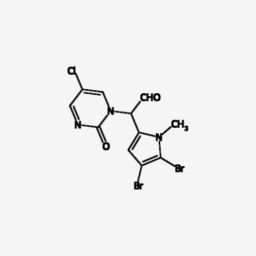 Cn1c(C(C=O)n2cc(Cl)cnc2=O)cc(Br)c1Br